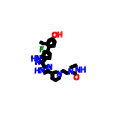 CCc1cc(O)ccc1-c1ccc2c(-c3nc(C4=CCCN(CCN5CCNC5=O)C4)c[nH]3)n[nH]c2c1F